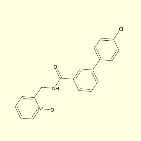 O=C(NCc1cccc[n+]1[O-])c1cccc(-c2ccc(Cl)cc2)c1